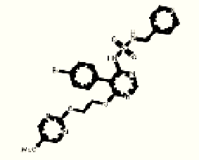 COc1cnc(OCCOc2ncnc(NS(=O)(=O)NCc3ccncc3)c2-c2ccc(Br)cc2)nc1